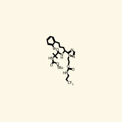 CC(C)(C)OC(=O)NC(C)(C)C(=O)NC(CCCc1ccccc1Br)c1ncnn1CCOC(=O)NCCC(F)(F)F